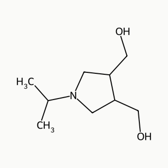 CC(C)N1CC(CO)C(CO)C1